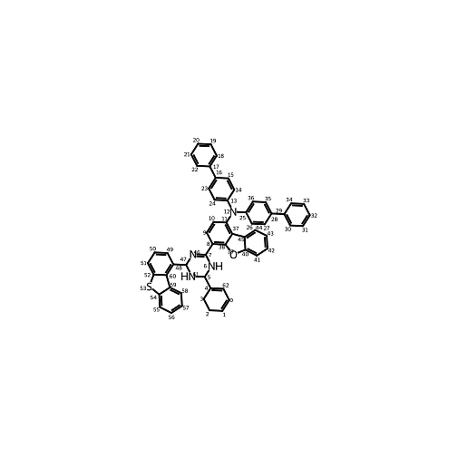 C1=CCCC(C2NC(c3ccc(N(c4ccc(-c5ccccc5)cc4)c4ccc(-c5ccccc5)cc4)c4c3oc3ccccc34)=NC(c3cccc4sc5ccccc5c34)N2)=C1